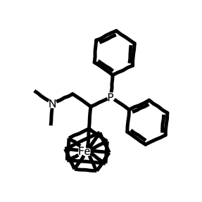 CN(C)CC(P(c1ccccc1)c1ccccc1)[C]12[CH]3[CH]4[CH]5[CH]1[Fe]45321678[CH]2[CH]1[CH]6[CH]7[CH]28